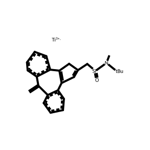 C=C1c2ccccc2C2=C(CC(C[Si](=O)N(C)C(C)(C)C)=C2)c2ccccc21.[Ti+3]